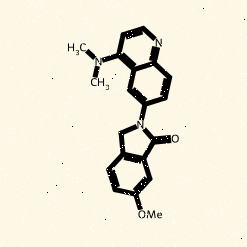 COc1ccc2c(c1)C(=O)N(c1ccc3nccc(N(C)C)c3c1)C2